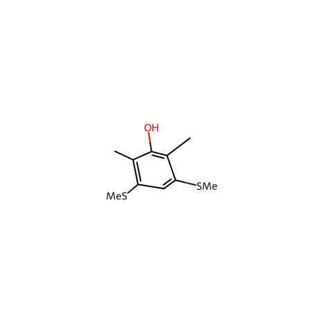 CSc1cc(SC)c(C)c(O)c1C